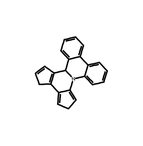 C1=CC2=C(C1)C1=CCC=C1N1c3ccccc3-c3ccccc3C21